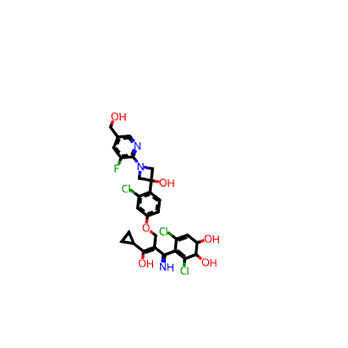 N=C(C1=C(Cl)C(O)C(O)C=C1Cl)/C(COc1ccc(C2(O)CN(c3ncc(CO)cc3F)C2)c(Cl)c1)=C(\O)C1CC1